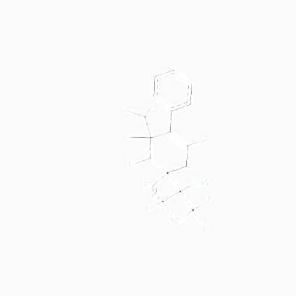 CC(C)C1(C)C(c2ccccc2)=C(F)CC(C=O)(C(O)(C(F)(F)F)C(F)(F)F)C1F